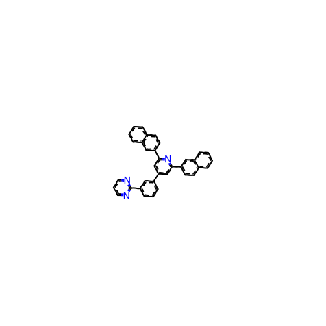 c1cnc(-c2cccc(-c3cc(-c4ccc5ccccc5c4)nc(-c4ccc5ccccc5c4)c3)c2)nc1